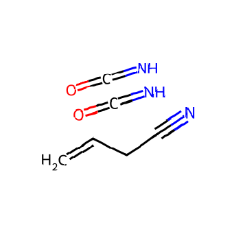 C=CCC#N.N=C=O.N=C=O